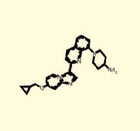 NC1CCN(c2cccc3ccc(-c4cnc5cc(OCC6CC6)ccn45)nc23)CC1